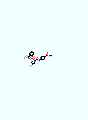 CCOC(=O)c1ccc(NC(=O)C2CC(S)CN2S(=O)(=O)c2ccccc2C(=O)OC)cc1